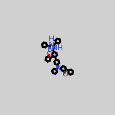 c1ccc(C2N=C(c3ccc(-c4ccc(N(c5ccccc5)c5ccc6c(c5)oc5ccccc56)cc4)c4c3oc3ccccc34)NC(c3ccccc3)N2)cc1